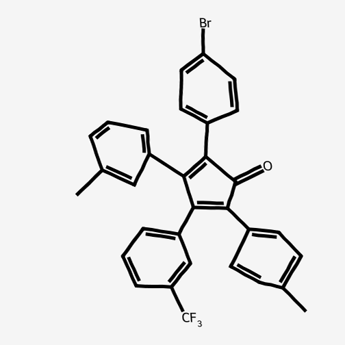 Cc1ccc(C2=C(c3cccc(C(F)(F)F)c3)C(c3cccc(C)c3)=C(c3ccc(Br)cc3)C2=O)cc1